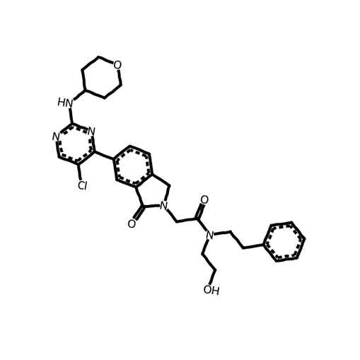 O=C(CN1Cc2ccc(-c3nc(NC4CCOCC4)ncc3Cl)cc2C1=O)N(CCO)CCc1ccccc1